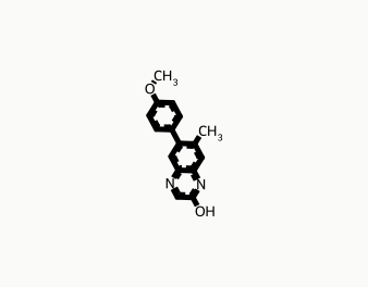 COc1ccc(-c2cc3ncc(O)nc3cc2C)cc1